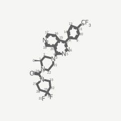 C[C@H]1CN(c2nnc(-c3ccc(C(F)(F)F)cc3)c3ccncc23)CCN1C(=O)N1CCC(F)(F)CC1